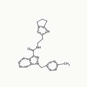 Cc1ccc(Cn2nc(C(=O)NCCc3nc4c(s3)CCC4)c3ccccc32)cc1